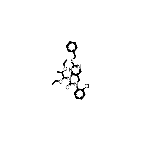 CCOC(C)C(OCC)N1C(=O)N(c2ccccc2Cl)Cc2cnc(SCc3ccccc3)nc21